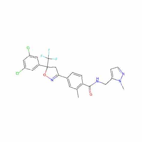 Cc1cc(C2=NOC(c3cc(Cl)cc(Cl)c3)(C(F)(F)F)C2)ccc1C(=O)NCc1ccnn1C